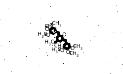 COc1cc(/C=C2\CC(C(C)C)C/C(=C\c3cc(OC)c(OC)c(OC)c3)C2=O)cc(OC)c1OC